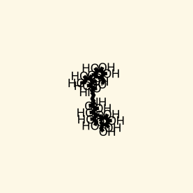 O=C(NCCNC(=O)C(O)C(O)C(OC1OC(CO)C(O)C(O)C1O)C(O)CO)C(O)C(O)C(OC1OC(CO)C(O)C(O)C1O)C(O)CO